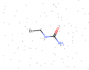 CCC[N]C(N)=O